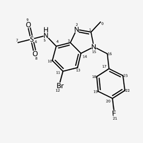 Cc1nc2c(NS(C)(=O)=O)cc(Br)cc2n1Cc1ccc(F)cc1